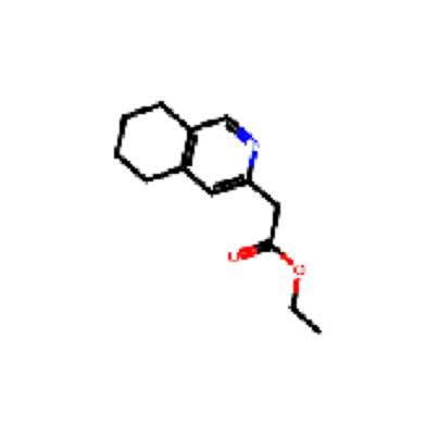 CCOC(=O)Cc1cc2c(cn1)CCCC2